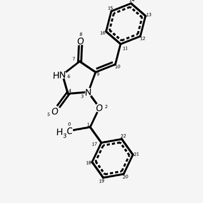 CC(ON1C(=O)NC(=O)C1=Cc1ccccc1)c1ccccc1